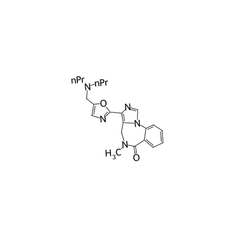 CCCN(CCC)Cc1cnc(-c2ncn3c2CN(C)C(=O)c2ccccc2-3)o1